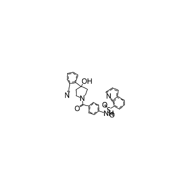 N#Cc1ccccc1C1(O)CCN(C(=O)c2ccc(NS(=O)(=O)c3cccc4cccnc34)cc2)CC1